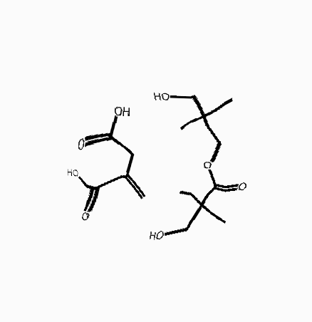 C=C(CC(=O)O)C(=O)O.CC(C)(CO)COC(=O)C(C)(C)CO